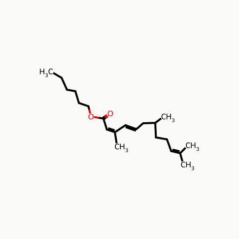 CCCCCCOC(=O)C=C(C)C=CCC(C)CCC=C(C)C